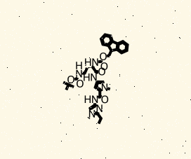 CCc1nc(NC(=O)c2cc(NC(=O)[C@H](CCNC(=O)OC(C)(C)C)NC(=O)OCC3c4ccccc4-c4ccccc43)cn2C)cn1C